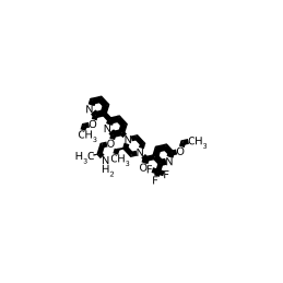 CCOc1ccc(C(=O)N2CCN(c3ccc(-c4cccnc4OCC)nc3OC[C@@H](C)N)[C@H](CC)C2)c(C(F)(F)F)n1